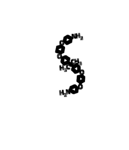 CC(C)(c1ccc(Oc2ccc(Oc3ccc(N)cc3)cc2)cc1)c1ccc(Oc2ccc(Oc3ccc(N)cc3)cc2)cc1